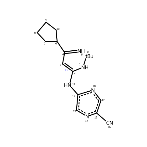 CC(C)(C)N/C(=C\C(=N)C1CCCC1)Nc1cnc(C#N)cn1